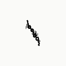 C=CCCOc1ccc(-c2ccc(C(=O)Oc3ccc(C4CCC(OCCCC)CC4)c(F)c3F)cc2)cc1F